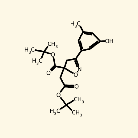 Cc1cc(O)cc(C2=NOC(CC(=O)OC(C)(C)C)(C(=O)OC(C)(C)C)C2)c1